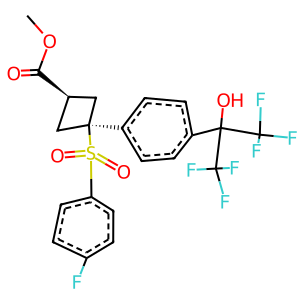 COC(=O)[C@H]1C[C@@](c2ccc(C(O)(C(F)(F)F)C(F)(F)F)cc2)(S(=O)(=O)c2ccc(F)cc2)C1